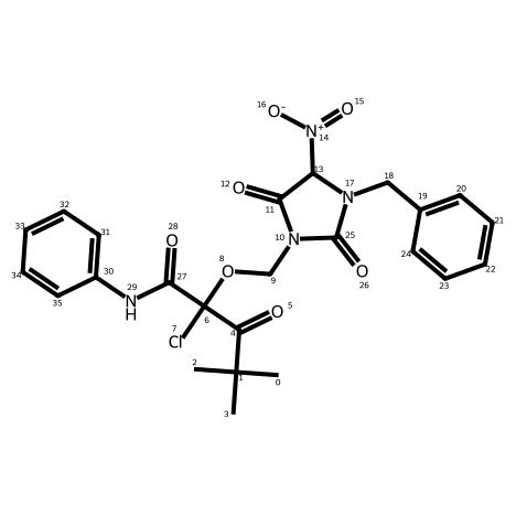 CC(C)(C)C(=O)C(Cl)(OCN1C(=O)C([N+](=O)[O-])N(Cc2ccccc2)C1=O)C(=O)Nc1ccccc1